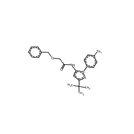 Cc1ccc(-n2nc(C(C)(C)C)cc2NC(=O)COCc2ccccc2)cc1